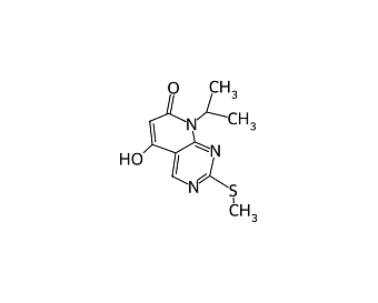 CSc1ncc2c(O)cc(=O)n(C(C)C)c2n1